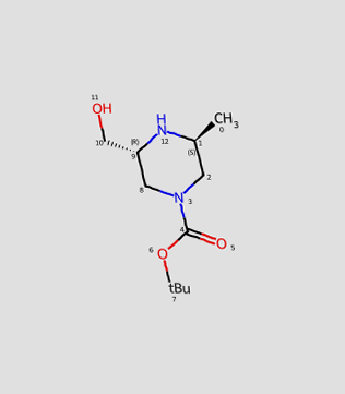 C[C@H]1CN(C(=O)OC(C)(C)C)C[C@H](CO)N1